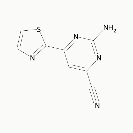 N#Cc1cc(-c2nccs2)nc(N)n1